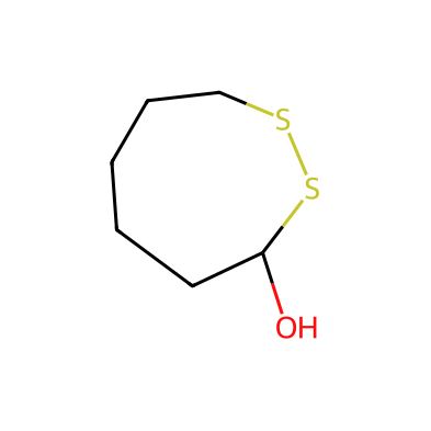 OC1CCCCCSS1